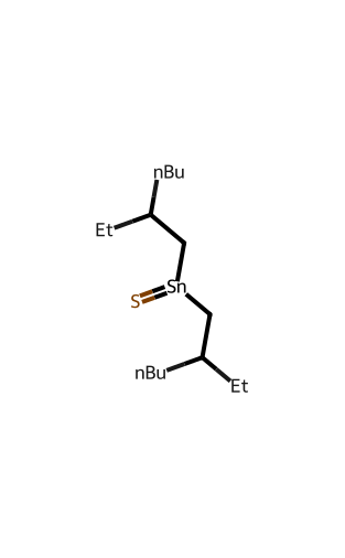 CCCCC(CC)[CH2][Sn](=[S])[CH2]C(CC)CCCC